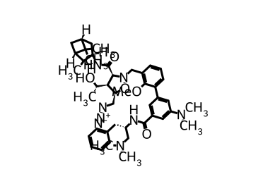 COc1c(CN2O[C@@H](CN=[N+]=[N-])[C@@H]([C@H](C)O)[C@H]2C(=O)N[C@H]2C[C@H]3C[C@@H]([C@@H]2C)C3(C)C)cccc1-c1cc(C(=O)N[C@@H](Cc2ccccc2)CN(C)C)cc(N(C)C)c1